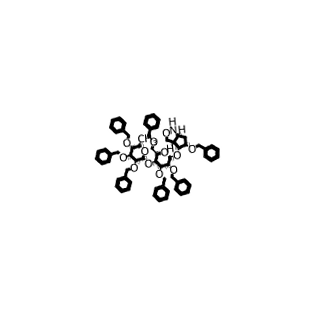 C[C@H]1O[C@@H](O[C@H]2[C@H](OCc3ccccc3)[C@@H](OCc3ccccc3)[C@@H](O[C@@H]3[C@H]4CON[C@H]4C[C@@H]3OCc3ccccc3)O[C@@H]2COCc2ccccc2)[C@H](OCc2ccccc2)[C@@H](OCc2ccccc2)[C@@H]1OCc1ccccc1